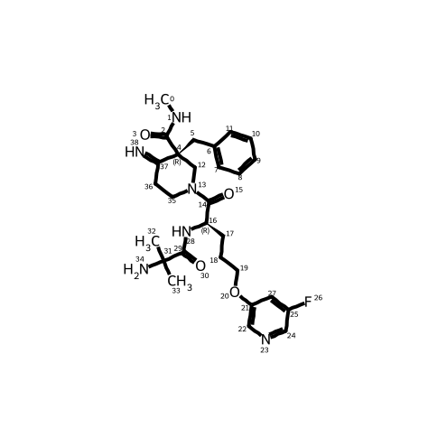 CNC(=O)[C@]1(Cc2ccccc2)CN(C(=O)[C@@H](CCCOc2cncc(F)c2)NC(=O)C(C)(C)N)CCC1=N